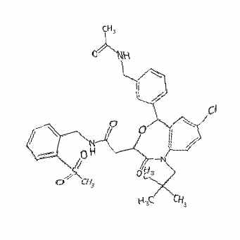 CC(=O)NCc1cccc(C2OC(CC(=O)NCc3ccccc3S(C)(=O)=O)C(=O)N(CC(C)(C)C)c3ccc(Cl)cc32)c1